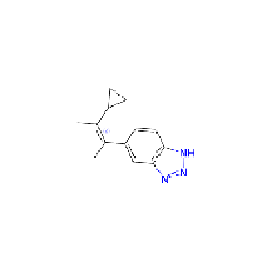 C/C(=C(\C)C1CC1)c1ccc2[nH]nnc2c1